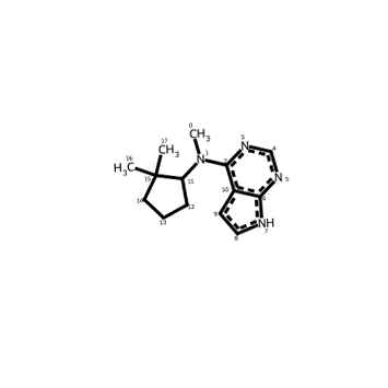 CN(c1ncnc2[nH]ccc12)C1CCCC1(C)C